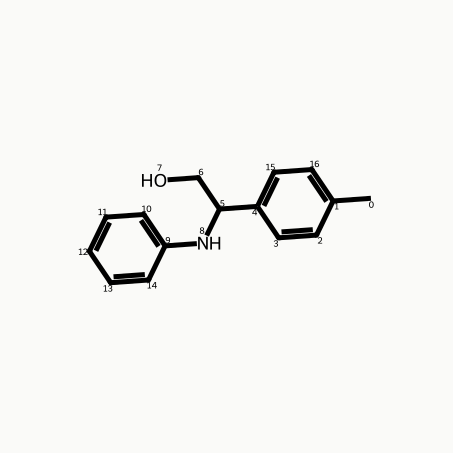 Cc1ccc(C(CO)Nc2ccccc2)cc1